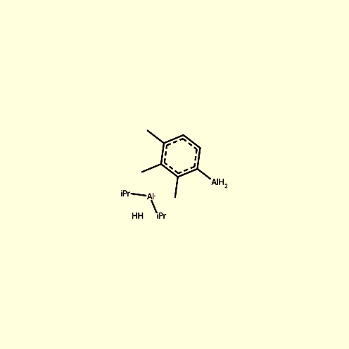 C[CH](C)[Al][CH](C)C.Cc1cc[c]([AlH2])c(C)c1C.[HH]